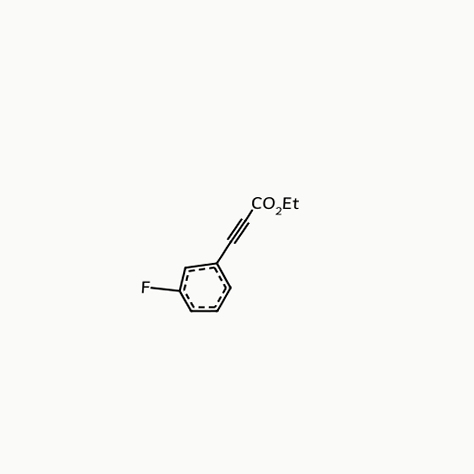 CCOC(=O)C#Cc1cccc(F)c1